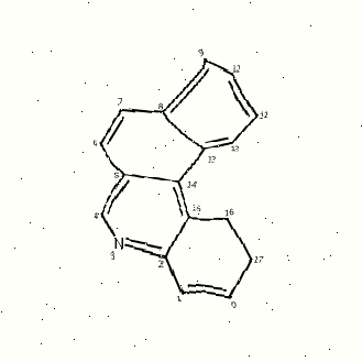 C1=Cc2ncc3ccc4ccccc4c3c2CC1